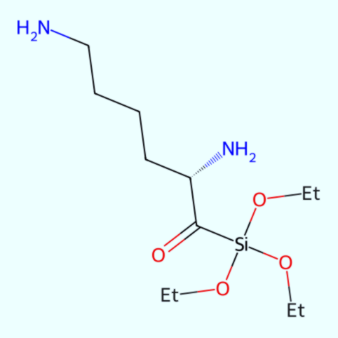 CCO[Si](OCC)(OCC)C(=O)[C@@H](N)CCCCN